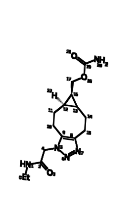 CCNC(=O)Cn1nnc2c1CC[C@@H]1C(CC2)[C@@H]1COC(N)=O